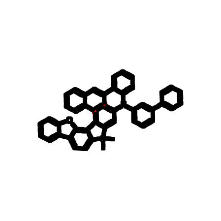 CS1(C)c2cc(N(c3cccc(-c4ccccc4)c3)c3ccccc3-c3ccc4ccccc4c3)ccc2-c2c1ccc1c2oc2ccccc21